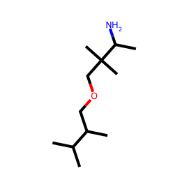 CC(C)C(C)COCC(C)(C)C(C)N